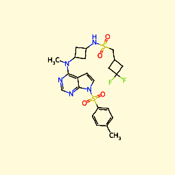 Cc1ccc(S(=O)(=O)n2ccc3c(N(C)C4CC(NS(=O)(=O)CC5CC(F)(F)C5)C4)ncnc32)cc1